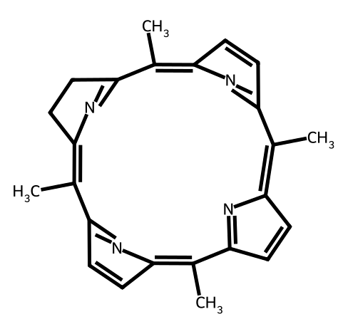 CC1=C2C=CC(=N2)C(C)=C2C=CC(=N2)C(C)=C2CCC(=N2)C(C)=C2C=CC1=N2